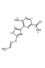 C/C=C/Cc1nc(-c2cc(C(=O)O)ccc2O)no1